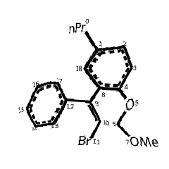 CCCc1ccc(OCOC)c(C(=CBr)c2ccccc2)c1